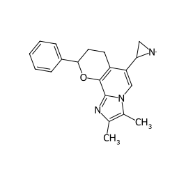 Cc1nc2c3c(c(C4C[N]4)cn2c1C)CCC(c1ccccc1)O3